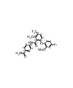 COc1cc(F)ccc1Oc1ccc(C(F)(F)F)c(C)c1C(=O)Nc1ccc(C(N)=O)nc1